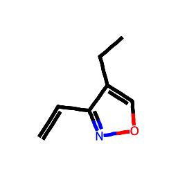 C=Cc1nocc1CC